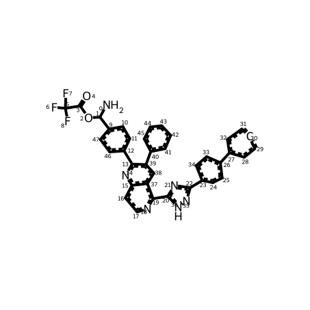 NC(OC(=O)C(F)(F)F)c1ccc(-c2nc3ccnc(-c4nc(-c5ccc(-c6ccccc6)cc5)n[nH]4)c3cc2-c2ccccc2)cc1